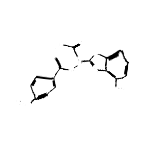 COc1ccc(C(=O)NN(C(N)=O)c2nc3c(OC)cccc3s2)cc1